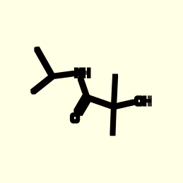 CC(C)NC(=O)C(C)(C)O